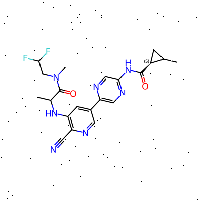 CC(Nc1cc(-c2cnc(NC(=O)[C@H]3CC3C)cn2)cnc1C#N)C(=O)N(C)CC(F)F